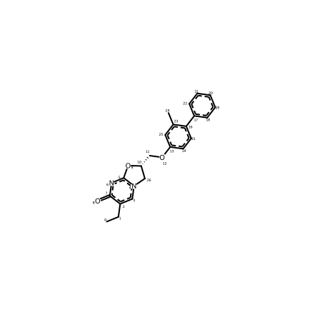 CCc1cn2c(nc1=O)O[C@H](COc1ccc(-c3ccccc3)c(C)c1)C2